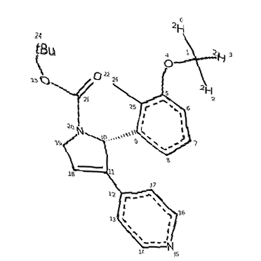 [2H]C([2H])([2H])Oc1cccc([C@@H]2C(c3ccncc3)=CCN2C(=O)OC(C)(C)C)c1C